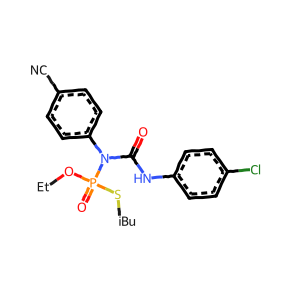 CCOP(=O)(SC(C)CC)N(C(=O)Nc1ccc(Cl)cc1)c1ccc(C#N)cc1